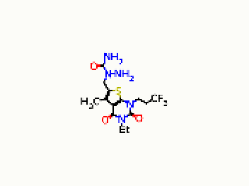 CCn1c(=O)c2c(C)c(CN(N)C(N)=O)sc2n(CCC(F)(F)F)c1=O